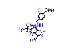 CCCc1n[nH]c2c(NCc3ccc(OC)c(Cl)c3)nc(C(C)(OC)C(=O)O)nc12